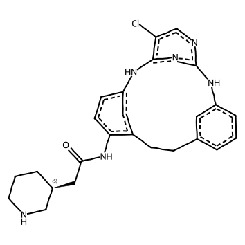 O=C(C[C@@H]1CCCNC1)Nc1ccc2cc1CCc1cccc(c1)Nc1ncc(Cl)c(n1)N2